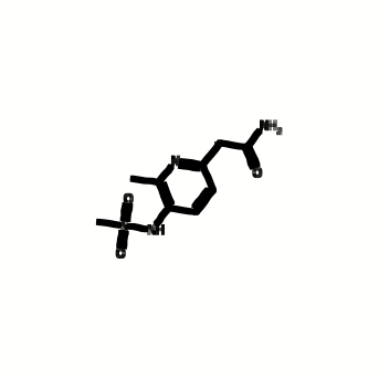 Cc1nc([CH]C(N)=O)ccc1NS(C)(=O)=O